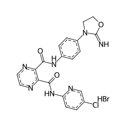 Br.N=C1OCCN1c1ccc(NC(=O)c2nccnc2C(=O)Nc2ccc(Cl)cn2)cc1